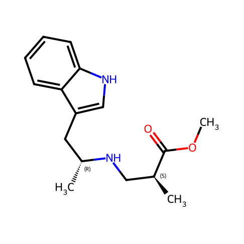 COC(=O)[C@@H](C)CN[C@H](C)Cc1c[nH]c2ccccc12